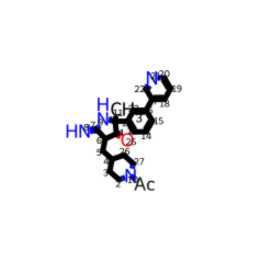 CC(=O)N1CCC(CC2C(=N)NC(C)(c3cccc(-c4cccnc4)c3)C2=O)CC1